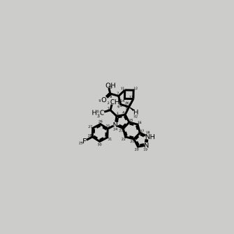 CC(C)c1c([C@@H]2CC(C(=O)O)C3CC2C3)c2cc3[nH]ncc3cc2n1-c1ccc(F)cc1